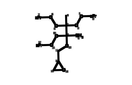 CCCOOC(C)(OOCCC)C([SiH3])(OCC1CO1)OOCCC